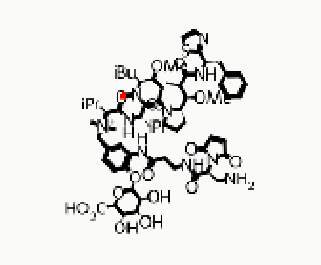 CC[C@H](C)[C@@H](C(CC(=O)N1CCC[C@H]1[C@H](OC)[C@@H](C)C(=O)N[C@@H](Cc1ccccc1)c1nccs1)OC)N(C)C(=O)[C@@H](NC(=O)[C@H](C(C)C)[N+](C)(C)Cc1ccc(O[C@@H]2O[C@H](C(=O)O)[C@@H](O)[C@H](O)[C@H]2O)c(NC(=O)CCNC(=O)[C@H](CN)N2C(=O)C=CC2=O)c1)C(C)C